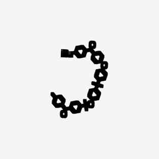 CCC(C)c1ccc(C(=O)c2ccc(Oc3ccc(C(C)(C)c4ccc(OC(C)(C)c5ccc(C(=O)c6ccc(C)cc6)cc5)cc4)cc3)cc2)cc1